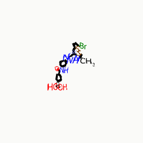 Cc1csc(/C(=C\c2ccc(Br)s2)c2nc3ccc(NC(=O)c4ccc(B(O)O)cc4)cc3[nH]2)n1